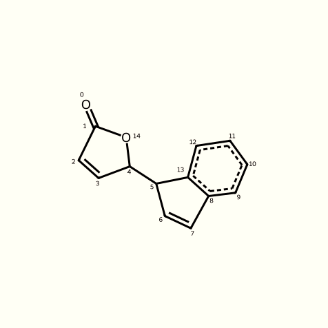 O=C1C=CC(C2C=Cc3ccccc32)O1